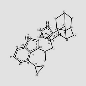 CC(CC(=O)N1C2CC3CC(C2)C(c2nnn[nH]2)C1C3)c1c[nH]c2cccc(C3CC3)c12